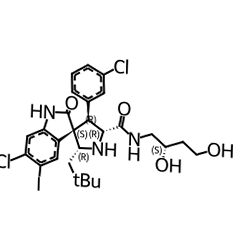 CC(C)(C)C[C@H]1N[C@@H](C(=O)NC[C@@H](O)CCO)[C@H](c2cccc(Cl)c2)[C@@]12C(=O)Nc1cc(Cl)c(I)cc12